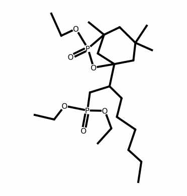 CCCCCCC(CP(=O)(OCC)OCC)C12CC(C)(C)CC(C)(C1)P(=O)(OCC)O2